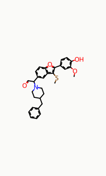 COc1cc(-c2oc3ccc(C(C=O)N4CCC(Cc5ccccc5)CC4)cc3c2SC)ccc1O